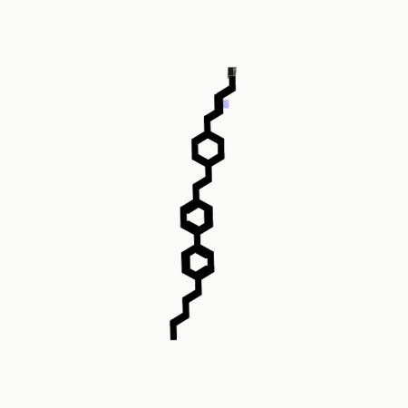 CCCCCc1ccc(-c2ccc(CCC3CCC(C/C=C/CF)CC3)cc2)cc1